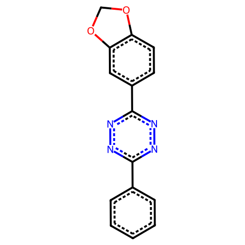 c1ccc(-c2nnc(-c3ccc4c(c3)OCO4)nn2)cc1